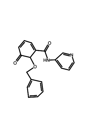 O=C(Nc1cccnc1)C1=CC=CC(=O)C1OCc1ccccc1